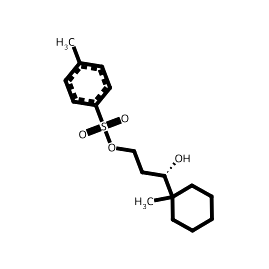 Cc1ccc(S(=O)(=O)OCC[C@H](O)C2(C)CCCCC2)cc1